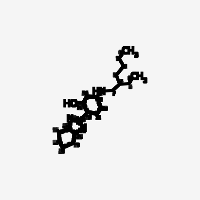 CCCCC(CC)CNc1ccc(-n2nc3ccccc3n2)c(O)c1